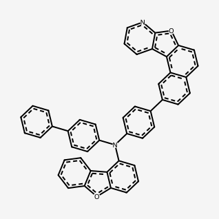 c1ccc(-c2ccc(N(c3ccc(-c4ccc5ccc6oc7ncccc7c6c5c4)cc3)c3cccc4oc5ccccc5c34)cc2)cc1